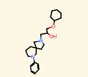 OC(COC1CCCCC1)CN1CCC2(CCCN(c3ccccc3)C2)C1